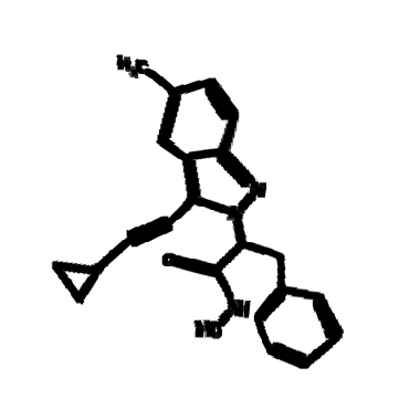 Cc1ccc2nn(C(Cc3ccccc3)C(=O)NO)c(C#CC3CC3)c2c1